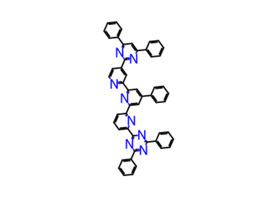 c1ccc(-c2cc(-c3cc(-c4nc(-c5ccccc5)cc(-c5ccccc5)n4)ccn3)nc(-c3cccc(-c4nc(-c5ccccc5)nc(-c5ccccc5)n4)n3)c2)cc1